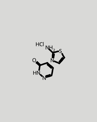 Cl.Nc1nccs1.O=c1cccn[nH]1